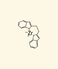 [CH3][Zr]1([CH3])[CH]2C(=Cc3ccccc32)CCC2=Cc3ccccc3[CH]21